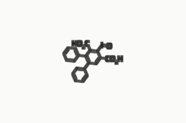 O=Ic1c(C(=O)O)cc(-c2ccccc2)c(-c2ccccc2)c1C(=O)O